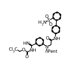 CCCCCN(CC(=O)Nc1ccc(-c2ccccc2S(N)(=O)=O)cc1)c1cccc(C(=N)NC(=O)OCC(Cl)(Cl)Cl)c1